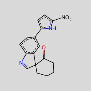 O=C1CCCCC12C=Nc1ccc(-c3ccc([N+](=O)[O-])[nH]3)cc12